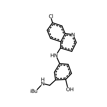 CCC(C)NCc1cc(Nc2ccnc3cc(Cl)ccc23)ccc1O